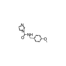 COc1ccc(CNC(=O)n2ccnc2)cc1